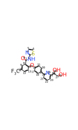 O=C(Nc1nccs1)c1cc(C(F)(F)F)ccc1Oc1ccc(-c2cccc([C@H](O)CO)n2)cc1